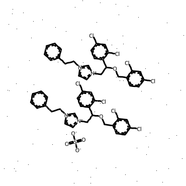 Clc1ccc(COC(C[n+]2ccn(CCc3ccccc3)c2)c2ccc(Cl)cc2Cl)c(Cl)c1.Clc1ccc(COC(C[n+]2ccn(CCc3ccccc3)c2)c2ccc(Cl)cc2Cl)c(Cl)c1.O=S(=O)([O-])[O-]